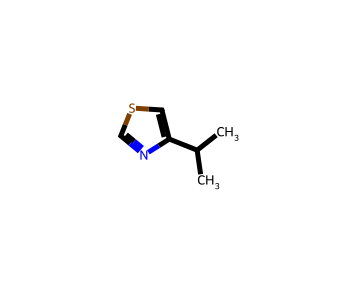 CC(C)c1cscn1